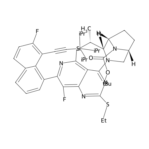 CCSc1nc2c3c(nc(-c4cccc5ccc(F)c(C#C[Si](C(C)C)(C(C)C)C(C)C)c45)c(F)c3n1)C[C@H](C)[C@@H]1[C@@H]3CC[C@H](CN21)N3C(=O)OC(C)(C)C